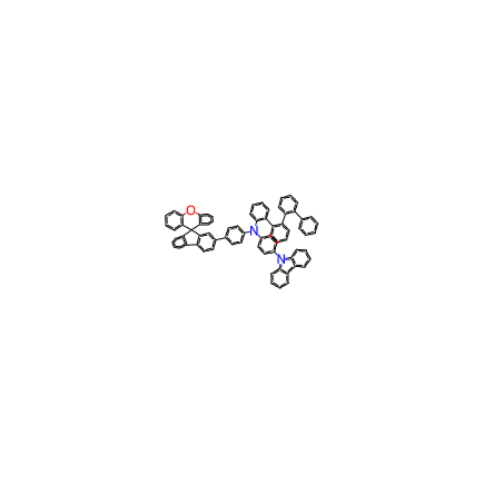 c1ccc(-c2ccccc2-c2ccccc2-c2ccccc2N(c2ccc(-c3ccc4c(c3)C3(c5ccccc5Oc5ccccc53)c3ccccc3-4)cc2)c2ccc(-n3c4ccccc4c4ccccc43)cc2)cc1